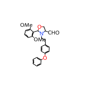 COc1cccc(OC)c1C1OCC(C=O)N1CCc1ccc(Oc2ccccc2)cc1